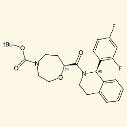 CC(C)(C)OC(=O)N1CCO[C@H](C(=O)N2CCc3ccccc3[C@@H]2c2ccc(F)cc2F)CC1